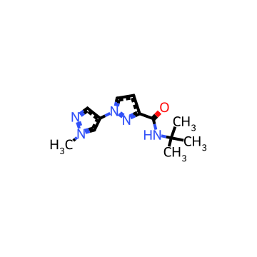 Cn1cc(-n2ccc(C(=O)NC(C)(C)C)n2)cn1